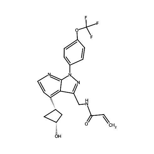 C=CC(=O)NCc1nn(-c2ccc(OC(F)(F)F)cc2)c2nccc([C@H]3C[C@@H](O)C3)c12